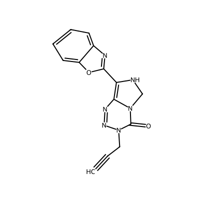 C#CCN1N=NC2=C(c3nc4ccccc4o3)NCN2C1=O